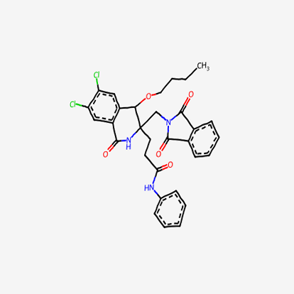 CCCCOC1c2cc(Cl)c(Cl)cc2C(=O)NC1(CCC(=O)Nc1ccccc1)CN1C(=O)c2ccccc2C1=O